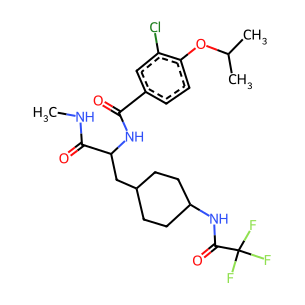 CNC(=O)C(CC1CCC(NC(=O)C(F)(F)F)CC1)NC(=O)c1ccc(OC(C)C)c(Cl)c1